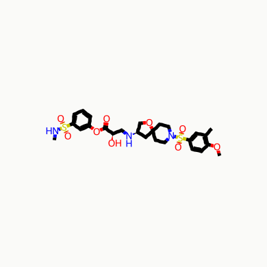 CNS(=O)(=O)c1cccc(OC(=O)[C@@H](O)CN[C@@H]2COC3(CCN(S(=O)(=O)c4ccc(OC)c(C)c4)CC3)C2)c1